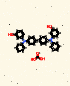 O=C(O)O.Oc1cccc(N(c2ccccc2)c2ccc(-c3ccc(N(c4ccccc4)c4cccc(O)c4)cc3)cc2)c1